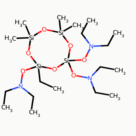 CCN(CC)O[Si]1(CC)O[Si](C)(C)O[Si](C)(C)O[Si](ON(CC)CC)(ON(CC)CC)O1